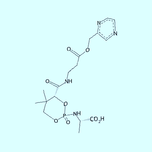 C[C@H](NP1(=O)OCC(C)(C)[C@H](C(=O)NCCC(=O)OCc2cnccn2)O1)C(=O)O